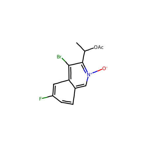 CC(=O)OC(C)c1c(Br)c2cc(F)ccc2c[n+]1[O-]